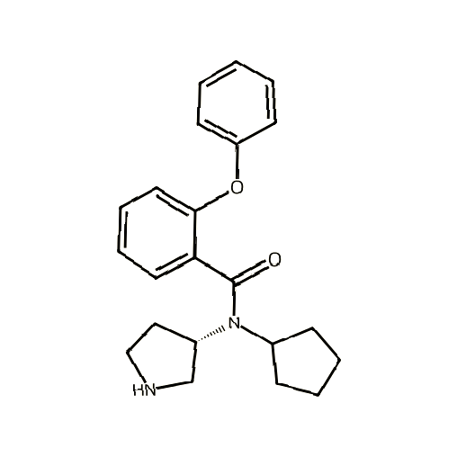 O=C(c1ccccc1Oc1ccccc1)N(C1CCCC1)[C@H]1CCNC1